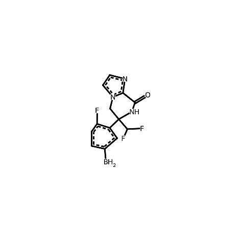 Bc1ccc(F)c(C2(C(F)F)Cn3ccnc3C(=O)N2)c1